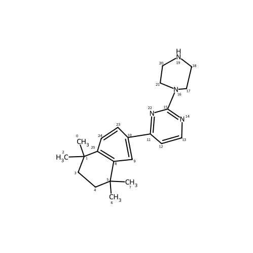 CC1(C)CCC(C)(C)c2cc(-c3ccnc(N4CCNCC4)n3)ccc21